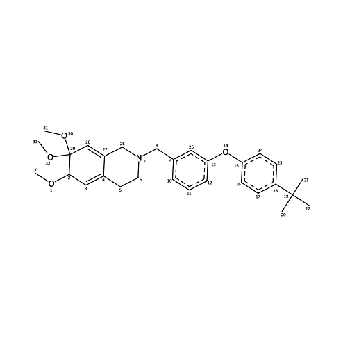 COC1C=C2CCN(Cc3cccc(Oc4ccc(C(C)(C)C)cc4)c3)CC2=CC1(OC)OC